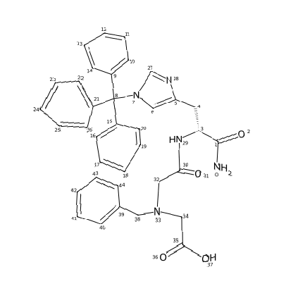 NC(=O)[C@@H](Cc1cn(C(c2ccccc2)(c2ccccc2)c2ccccc2)cn1)NC(=O)CN(CC(=O)O)Cc1ccccc1